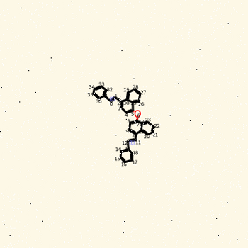 C(=C\c1ccc(Oc2ccc(/C=C/c3ccccc3)c3ccccc23)c2ccccc12)/c1ccccc1